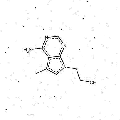 Cc1cn(CCO)c2ncnc(N)c12